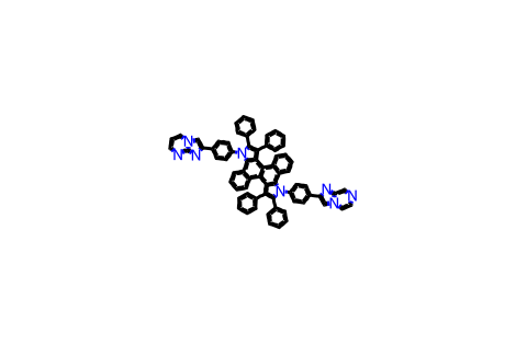 c1ccc(-c2c(-c3ccccc3)n(-c3ccc(-c4cn5ccncc5n4)cc3)c3c4ccccc4c4c5c(-c6ccccc6)c(-c6ccccc6)n(-c6ccc(-c7cn8cccnc8n7)cc6)c5c5ccccc5c4c23)cc1